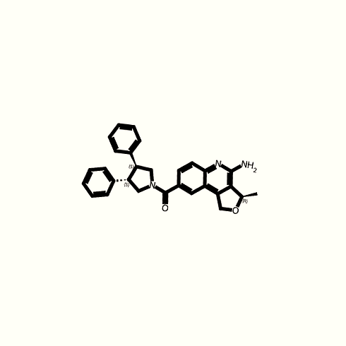 C[C@H]1OCc2c1c(N)nc1ccc(C(=O)N3C[C@H](c4ccccc4)[C@@H](c4ccccc4)C3)cc21